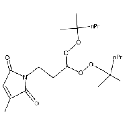 CCCC(C)(C)OOC(CCN1C(=O)C=C(C)C1=O)OOC(C)(C)CCC